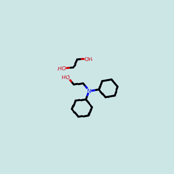 OCCN(C1CCCCC1)C1CCCCC1.OCCO